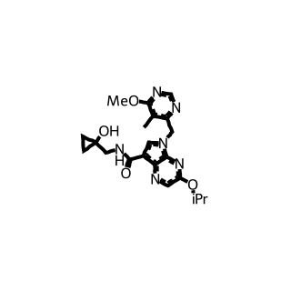 COc1ncnc(Cn2cc(C(=O)NCC3(O)CC3)c3ncc(OC(C)C)nc32)c1C